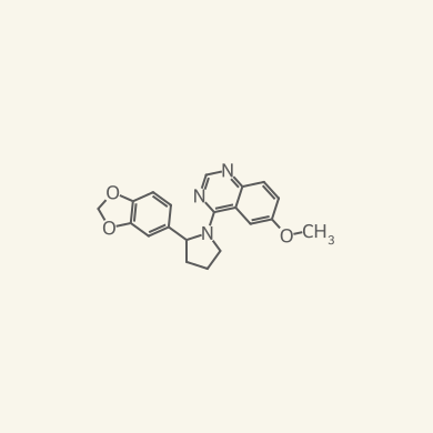 COc1ccc2ncnc(N3CCCC3c3ccc4c(c3)OCO4)c2c1